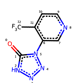 O=c1[nH]nnn1-c1cnccc1C(F)(F)F